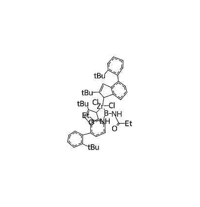 CCC(=O)N[B](NC(=O)CC)[Zr]([Cl])([Cl])([CH]1C(C(C)(C)C)=Cc2c(-c3ccccc3C(C)(C)C)cccc21)[CH]1C(C(C)(C)C)=Cc2c(-c3ccccc3C(C)(C)C)cccc21